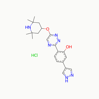 CC1(C)CC(Oc2cnc(-c3ccc(-c4cn[nH]c4)cc3O)nn2)CC(C)(C)N1.Cl